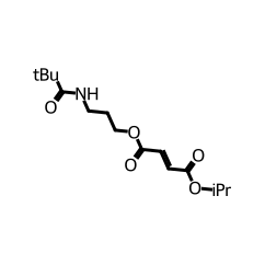 CC(C)OC(=O)/C=C/C(=O)OCCCNC(=O)C(C)(C)C